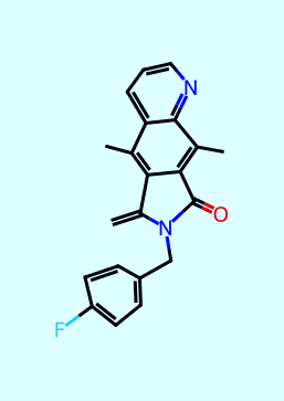 C=C1c2c(c(C)c3ncccc3c2C)C(=O)N1Cc1ccc(F)cc1